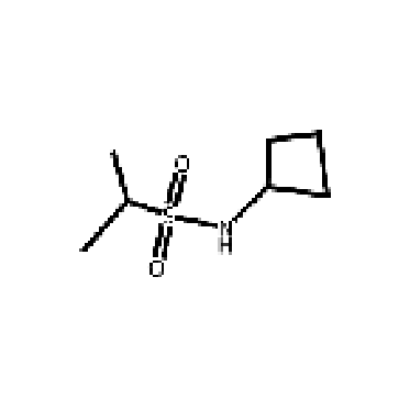 CC(C)S(=O)(=O)NC1CCC1